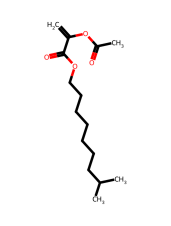 C=C(OC(C)=O)C(=O)OCCCCCCCC(C)C